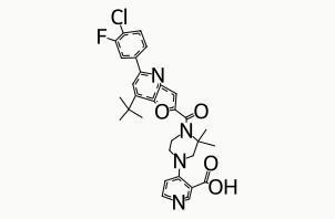 CC(C)(C)c1cc(-c2ccc(Cl)c(F)c2)nc2cc(C(=O)N3CCN(c4ccncc4C(=O)O)CC3(C)C)oc12